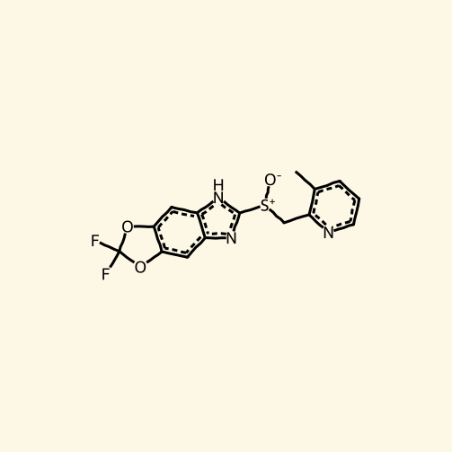 Cc1cccnc1C[S+]([O-])c1nc2cc3c(cc2[nH]1)OC(F)(F)O3